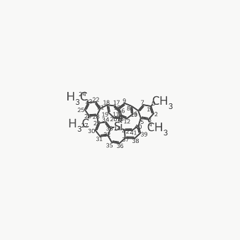 Cc1cc(C)c2c(c1)-c1ccc(cc1)[Si]13c4ccc(cc4)-c4cc(C)cc(C)c4-c4ccc(c1c4)C=Cc1ccc-2cc13